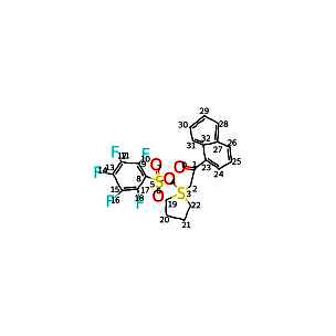 O=C(CS1(OS(=O)(=O)c2c(F)c(F)c(F)c(F)c2F)CCCC1)c1cccc2ccccc12